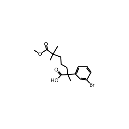 COC(=O)C(C)(C)CCCC(C)(C(=O)O)c1cccc(Br)c1